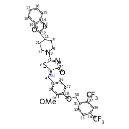 COc1cc(/C=C2/SC(N3CCC(c4nc5ccccc5o4)CC3)=NC2=O)ccc1OCc1ccc(C(F)(F)F)cc1C(F)(F)F